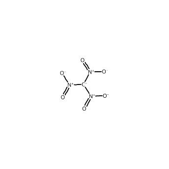 O=[N+]([O-])[C-]([N+](=O)[O-])[N+](=O)[O-]